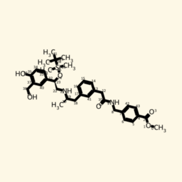 COC(=O)c1ccc(CNC(=O)Cc2cccc(C[C@@H](C)NC[C@H](O[Si](C)(C)C(C)(C)C)c3ccc(O)c(CO)c3)c2)cc1